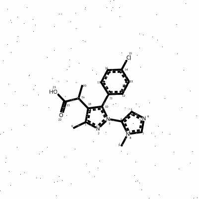 Cc1nn(-c2cncn2C)c(-c2ccc(Cl)cc2)c1C(C)C(=O)O